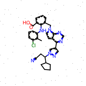 Cc1c(Cl)cccc1Nc1c(Cn2ccc3c(-c4cnn(C(CC#N)C5CCCC5)c4)ncnc32)cccc1C(=O)O